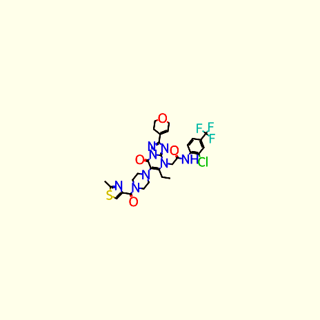 CCc1c(N2CCN(C(=O)c3csc(C)n3)CC2)c(=O)n2nc(C3=CCOCC3)nc2n1CC(=O)Nc1ccc(C(F)(F)F)cc1Cl